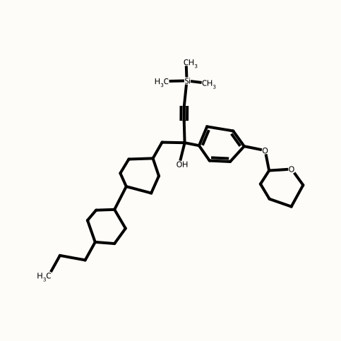 CCCC1CCC(C2CCC(CC(O)(C#C[Si](C)(C)C)c3ccc(OC4CCCCO4)cc3)CC2)CC1